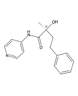 C[C@](O)(CCc1ccccc1)C(=O)Nc1ccncc1